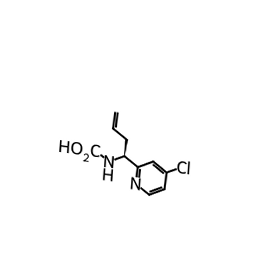 C=CC[C@H](NC(=O)O)c1cc(Cl)ccn1